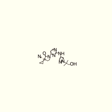 CC(C)(CO)n1cc(Nc2nccc(N3CC[C@@](C#N)(C4CC4)C3=O)n2)cn1